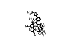 Cc1c(-c2cn(C)cn2)cccc1C(Nc1cc(C#N)c2ncc(C#N)c(NCC(C)(C)C)c2c1)c1cn(C2(C(F)(F)F)CC2)nn1